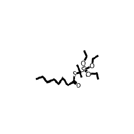 CCCCCCCC(=O)SC(C)(C)[Si](OCC)(OCC)OCC